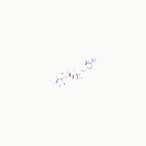 CCC[C@H]1C(=O)N(Cc2ccc3c(N)ncnc3c2)CCN1C(=O)C=Cc1ccc(N)nc1C